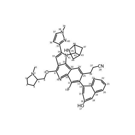 CN1CCCC1COc1nc2c(F)c(-c3cc(O)cc4ccccc34)c(CCC#N)cc2c2c1cc(-c1ccn(C)n1)n2C1C2CNC1C2